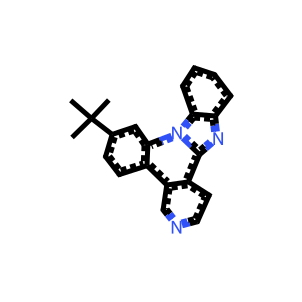 CC(C)(C)c1ccc2c3cnccc3c3nc4ccccc4n3c2c1